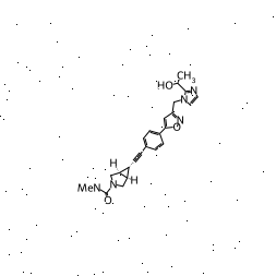 CNC(=O)N1C[C@@H]2[C@@H](C#Cc3ccc(-c4cc(Cn5ccnc5[C@H](C)O)no4)cc3)[C@@H]2C1